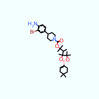 CC(C(C)(C)OC(=O)N1CCC(c2ccc(N)c(Br)c2)CC1)C1(C)OB(C2=CCC(C)(C)CC2)OC1(C)C